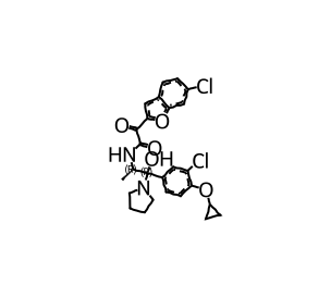 C[C@@H](NC(=O)C(=O)c1cc2ccc(Cl)cc2o1)[C@](O)(c1ccc(OC2CC2)c(Cl)c1)N1CCCC1